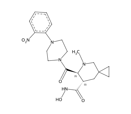 CN1CC2(CC2)C[C@H](C(=O)NO)[C@H]1C(=O)N1CCN(c2ccccc2[N+](=O)[O-])CC1